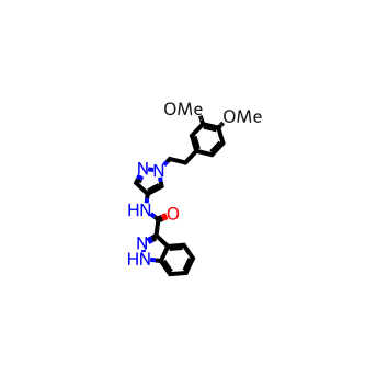 COc1ccc(CCn2cc(NC(=O)c3n[nH]c4ccccc34)cn2)cc1OC